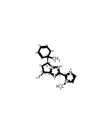 Cn1ccnc1-c1nc2n(n1)[C@H](C1(C)C=CC=CC1)C[C@@H]2F